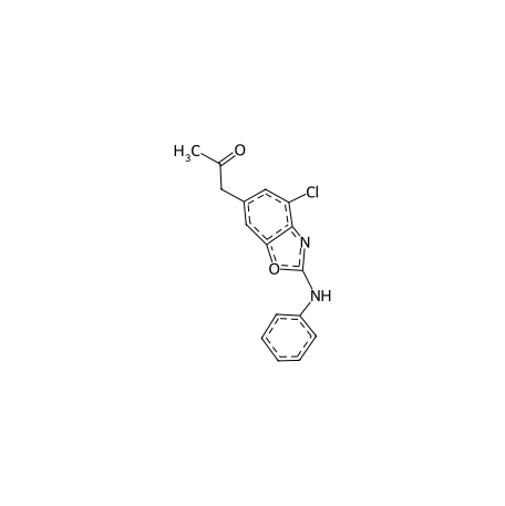 CC(=O)Cc1cc(Cl)c2nc(Nc3ccccc3)oc2c1